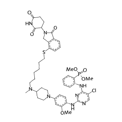 COc1cc(N2CCC(N(C)CCCCCCSc3cccc4c3CN(C3CCC(=O)NC3=O)C4=O)CC2)ccc1Nc1ncc(Cl)c(Nc2ccccc2P(=O)(OC)OC)n1